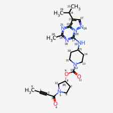 CC#CC(=O)N1CC[C@@H](OC(=O)N2CCC(Nc3nc(C)nc4c(C(C)C)cnn34)CC2)C1